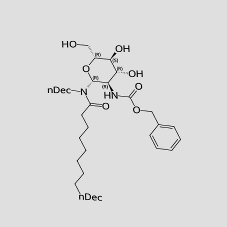 CCCCCCCCCCCCCCCCCC(=O)N(CCCCCCCCCC)[C@@H]1O[C@H](CO)[C@@H](O)[C@H](O)[C@H]1NC(=O)OCc1ccccc1